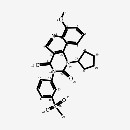 COc1cccc2c1ncc1c(=O)n(-c3cccc(S(C)(=O)=O)c3)c(=O)n(C3CCCC3)c12